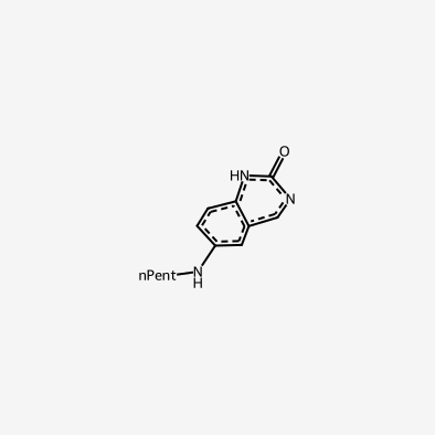 CCCCCNc1ccc2[nH]c(=O)ncc2c1